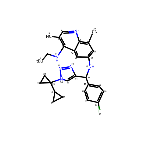 CC(C)(C)CNc1c(C#N)cnc2c(C#N)cc(NC(c3ccc(F)cc3)c3cn(C4(C5CC5)CC4)nn3)cc12